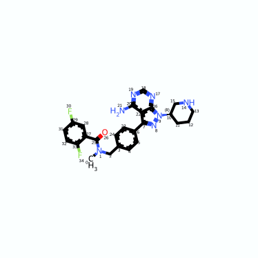 CN(Cc1ccc(-c2nn([C@@H]3CCCNC3)c3ncnc(N)c23)cc1)C(=O)c1cc(F)ccc1F